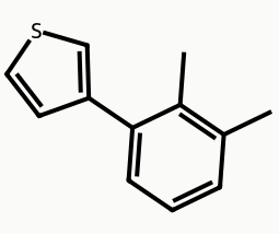 Cc1cccc(-c2ccsc2)c1C